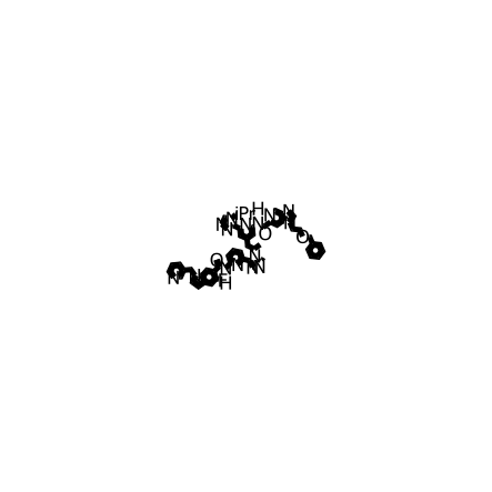 CC(C)n1cnnc1-c1cc(CC(C)n2cnnc2-c2cccc(NC(=O)c3cc4c(ccn4Cc4cccnc4)cc3F)n2)cc(NC(=O)c2cc3c(cn2)ncn3CCOCc2ccccc2)n1